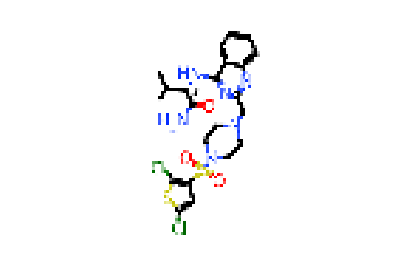 CC(C)[C@H](Nc1nc(CN2CCN(S(=O)(=O)c3cc(Cl)sc3Cl)CC2)nc2ccccc12)C(N)=O